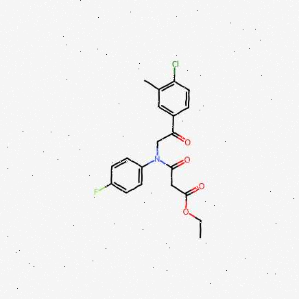 CCOC(=O)CC(=O)N(CC(=O)c1ccc(Cl)c(C)c1)c1ccc(F)cc1